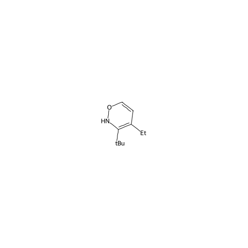 CCC1=C(C(C)(C)C)NOC=C1